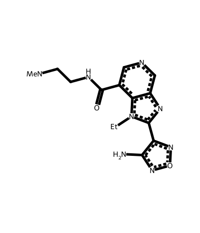 CCn1c(-c2nonc2N)nc2cncc(C(=O)NCCNC)c21